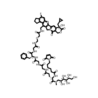 CN(C[C@H](O)[C@@H](O)[C@H](O)[C@H](O)CO)C(=O)[C@H](CCC(=O)NCC(=O)NCC(=O)N[C@@H](Cc1ccccc1)C(=O)NCC(=O)NCOCC(=O)NCc1c2c(nc3cc(F)c4c(c13)CCC4)-c1cc3c(c(=O)n1C2)COC(=O)[C@]3(O)CC1CC1)NC(=O)CCCCCN1C(=O)C=CC1=O